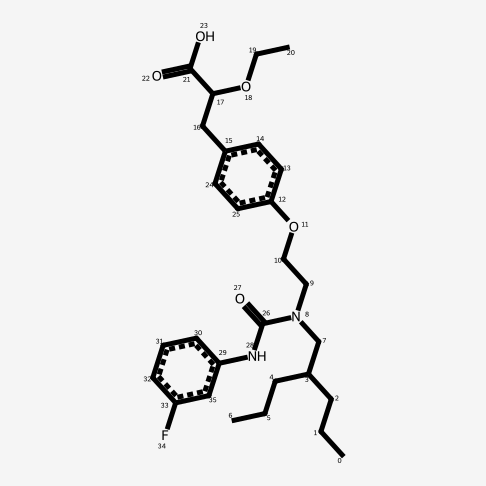 CCCC(CCC)CN(CCOc1ccc(CC(OCC)C(=O)O)cc1)C(=O)Nc1cccc(F)c1